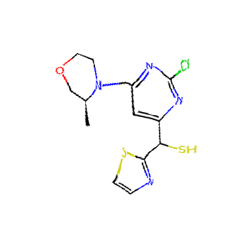 C[C@H]1COCCN1c1cc(C(S)c2nccs2)nc(Cl)n1